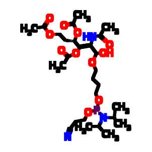 CC(=O)N/C(=C(/OC(C)=O)[C@H](CCOC(C)=O)OC(C)=O)[C@@H](O)OCCCCOP(OCCC#N)N(C(C)C)C(C)C